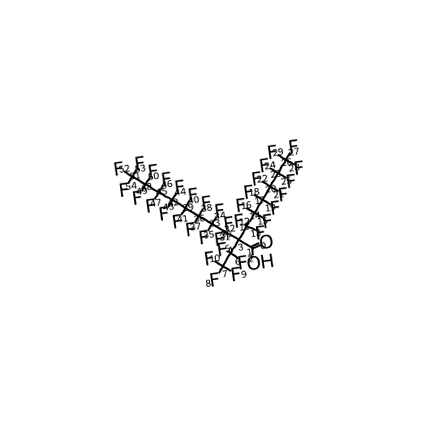 O=C(O)C(C(F)(F)C(F)(F)F)(C(F)(F)C(F)(F)C(F)(F)C(F)(F)C(F)(F)C(F)(F)F)C(F)(F)C(F)(F)C(F)(F)C(F)(F)C(F)(F)C(F)(F)C(F)(F)C(F)(F)F